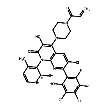 C=CC(=O)N1CCN(c2c(C#N)c(=O)n(C3=C(C)C=CN[C@@H]3C(C)C)c3nc(-c4c(O)c(Cl)c(Cl)c(F)c4F)c(Cl)cc23)CC1